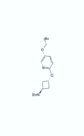 CN[C@H]1C[C@H](Oc2ccc(OCC(C)(C)C)cn2)C1